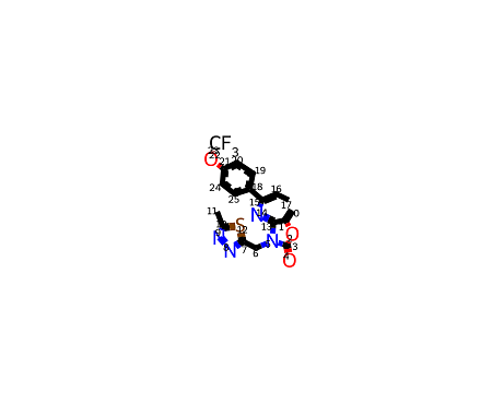 C=C1OC(=O)N(Cc2nnc(C)s2)/C1=N/C(=C\C)c1ccc(OC(F)(F)F)cc1